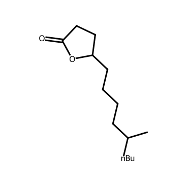 CCCCC(C)CCCCC1CCC(=O)O1